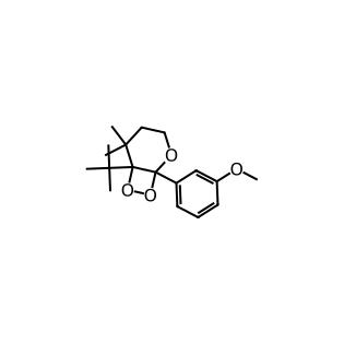 COc1cccc(C23OCCC(C)(C)C2(C(C)(C)C)OO3)c1